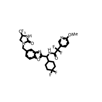 COc1ccc(C(F)(F)C(=O)NC(c2nc3cc(CN4CC(C(F)(F)F)NC4=O)ccc3o2)C2CCC(F)(F)CC2)cn1